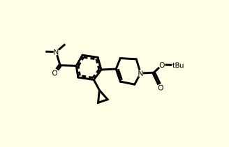 CN(C)C(=O)c1ccc(C2=CCN(C(=O)OC(C)(C)C)CC2)c(C2CC2)c1